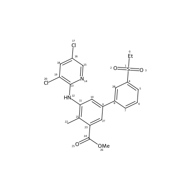 CCS(=O)(=O)c1cccc(-c2cc(Nc3ncc(Cl)cc3Cl)c(C)c(C(=O)OC)c2)c1